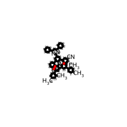 Cc1ccc(-c2ccc3c(c2)c2cc(-c4ccc(C)cc4C)ccc2n3-c2c(-c3cccc(C#N)c3)cc(-c3nc(-c4ccccc4)cc(-c4ccccc4)n3)cc2-c2cccc(C#N)c2)c(C)c1